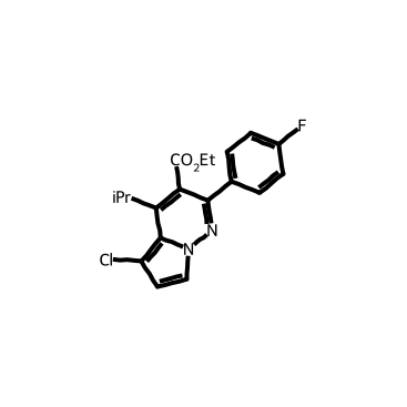 CCOC(=O)c1c(-c2ccc(F)cc2)nn2ccc(Cl)c2c1C(C)C